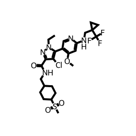 CCn1nc(C(=O)NCC2CCC(S(C)(=O)=O)CC2)c(Cl)c1-c1cnc(NCC2(C(F)(F)F)CC2)cc1OC